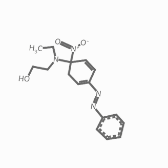 CCN(CCO)C1([N+](=O)[O-])C=CC(N=Nc2ccccc2)=CC1